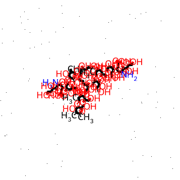 CC1C(O)[C@H](O[C@@H]2OC(CO)[C@H](O)C(O[C@]3(C(=O)O)C[C@@H](O)[C@@H](N)C([C@H](O)[C@H](O)CO)O3)C2O)[C@H](CO)O[C@H]1O[C@H](C(O)[C@H](O)CCO)[C@H](O)OCC[C@@H](O)C(O[C@H]1O[C@H](CO)[C@@H](O)C(O)C1O[C@@H]1OC(CO)[C@@H](O[C@@H]2OC(CO)[C@H](O)C(O[C@]3(C(=O)O)C[C@@H](O)[C@@H](N)C([C@H](O)[C@H](O)CO)O3)[C@@H]2O)C(O)[C@@H]1C)[C@@H](O)[C@@H](O)O[C@@H]1C(CO)O[C@@H](O[C@@H]2C(CO)O[C@@H](C)[C@@H](C)C2O)[C@@H](C)C1O